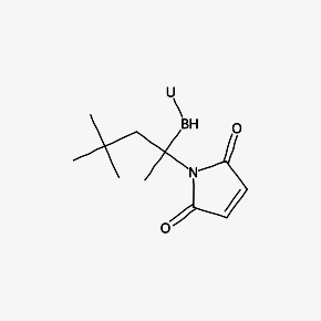 CC(C)(C)CC(C)([BH][U])N1C(=O)C=CC1=O